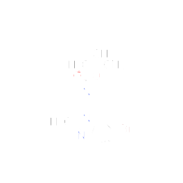 Cc1nc2ccc(Br)cc2n1C1CN(C(=O)OC(C)(C)C)C1